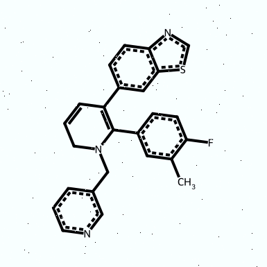 Cc1cc(C2=C(c3ccc4ncsc4c3)C=CCN2Cc2cccnc2)ccc1F